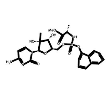 COC(=O)[C@H](C)NP(=O)(OC[C@H]1O[C@@H](n2ccc(N)nc2=O)[C@](C)(C#N)[C@@H]1O)Oc1cccc2ccccc12